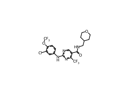 O=C(NCC1CCOCC1)c1cnc(Nc2ccc(OC(F)(F)F)c(Cl)c2)nc1C(F)(F)F